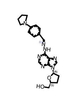 OC[C@@H]1CC[C@H](n2cnc3c(N/N=C/c4ccc(N5CCCC5)cc4)ncnc32)O1